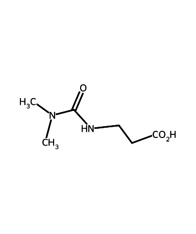 CN(C)C(=O)NCCC(=O)O